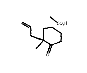 C=CCC1(C)CCCCC1=O.CC(=O)O